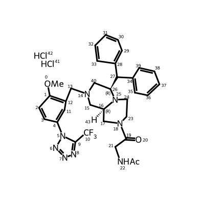 COc1ccc(-n2nnnc2C(F)(F)F)cc1CN1C[C@@H]2CN(C(=O)CNC(C)=O)CCN2[C@H](C(c2ccccc2)c2ccccc2)C1.Cl.Cl